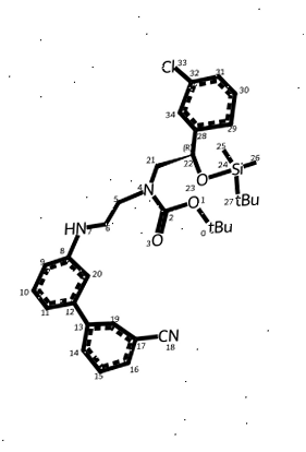 CC(C)(C)OC(=O)N(CCNc1cccc(-c2cccc(C#N)c2)c1)C[C@H](O[Si](C)(C)C(C)(C)C)c1cccc(Cl)c1